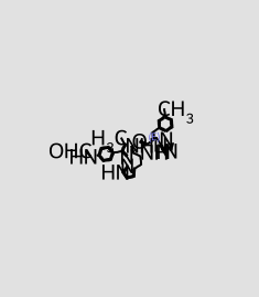 Cc1ccc(-n2cnnn2)c(/C=C/C(=O)NC(Cc2cc[nH]n2)c2nc(-c3ccc(NC=O)cc3)c(C)[nH]2)c1